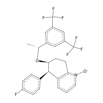 C[C@@H](O[C@H]1CCc2c(ccc[n+]2[O-])[C@H]1c1ccc(F)cc1)c1cc(C(F)(F)F)cc(C(F)(F)F)c1